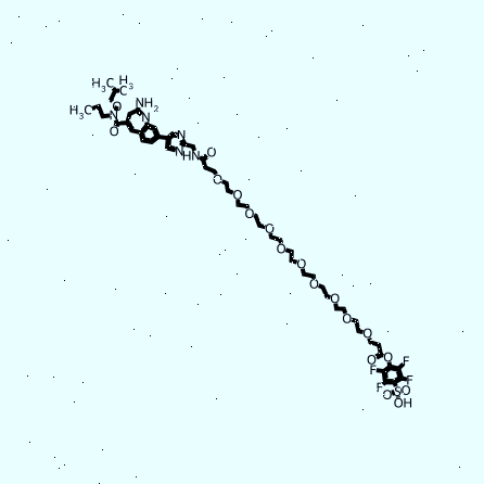 CCCN(OCC(C)C)C(=O)C1=Cc2ccc(-c3cnc(CNC(=O)CCOCCOCCOCCOCCOCCOCCOCCOCCOCCOCCC(=O)Oc4c(F)c(F)c(S(=O)(=O)O)c(F)c4F)nc3)cc2N=C(N)C1